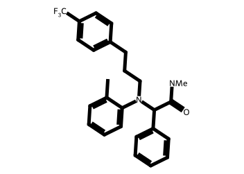 CNC(=O)C(c1ccccc1)N(CCCc1ccc(C(F)(F)F)cc1)c1ccccc1C